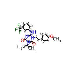 COc1ccc(CCn2c(Nc3cccc(C(F)(F)F)c3)nc(=O)n(C(C)C)c2=O)cc1